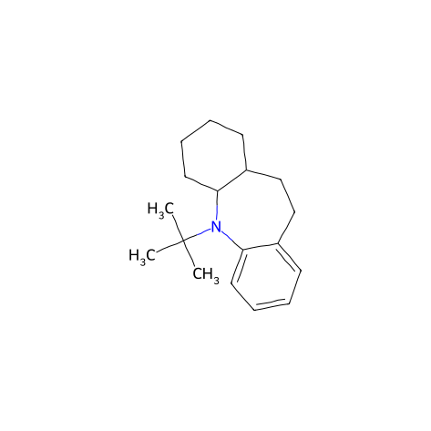 CC(C)(C)N1c2ccccc2CCC2CCCCC21